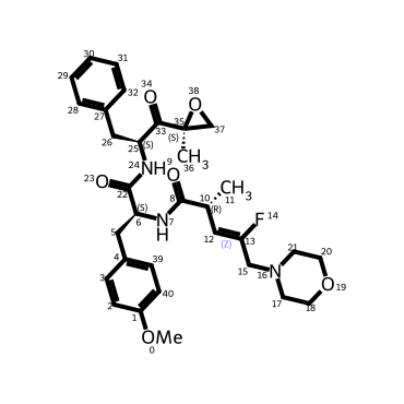 COc1ccc(C[C@H](NC(=O)[C@H](C)/C=C(\F)CN2CCOCC2)C(=O)N[C@@H](Cc2ccccc2)C(=O)[C@]2(C)CO2)cc1